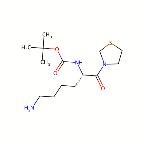 CC(C)(C)OC(=O)N[C@@H](CCCCN)C(=O)N1CCSC1